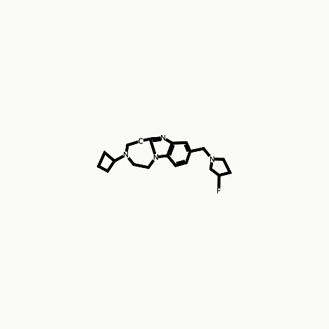 FC1CCN(Cc2ccc3c(c2)nc2n3CCN(C3CCC3)CC2)C1